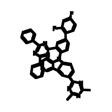 Cc1nc(C)nc(-c2ccc3c(c2)c2ccccc2n3-c2ccc(-c3ccc(F)cc3F)cc2-c2nc(-c3ccccc3)nc(-c3ccccc3)n2)n1